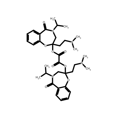 CC(C)N1CC(CCN(C)C)(OC(=O)C(=O)OC2(CCN(C)C)CN(C(C)C)C(=O)c3ccccc3O2)Oc2ccccc2C1=O